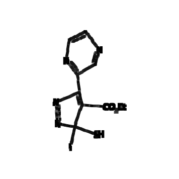 CCOC(=O)C1=C(c2cnccn2)N=NC1(S)I